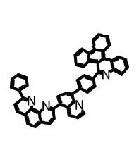 c1ccc(-c2ccc3ccc4ccc(-c5ccc(-c6ccc(-c7nc8ccccc8c8c9ccccc9c9ccccc9c78)cc6)c6ncccc56)nc4c3n2)cc1